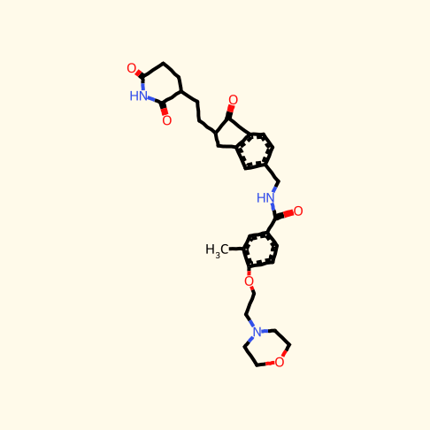 Cc1cc(C(=O)NCc2ccc3c(c2)CC(CCC2CCC(=O)NC2=O)C3=O)ccc1OCCN1CCOCC1